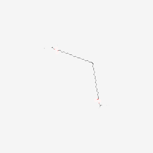 CCCCCCCCCCC(CCCCCCCC)COC(=O)CCCCCCCCCCCCCCCC/C=C\CCCCCCCCCCCCCCCCC(=O)OCC(CCCCCCCC)CCCCCCCCCC